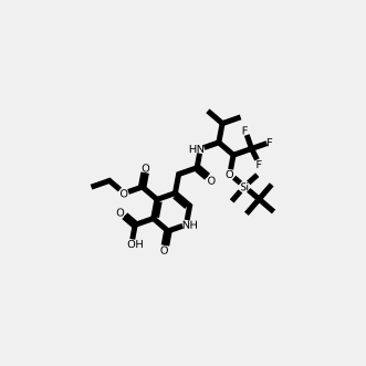 CCOC(=O)c1c(CC(=O)NC(C(C)C)C(O[Si](C)(C)C(C)(C)C)C(F)(F)F)c[nH]c(=O)c1C(=O)O